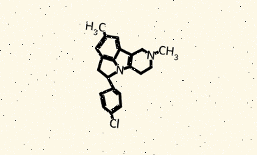 Cc1cc2c3c(c1)c1c(n3C(c3ccc(Cl)cc3)C2)CCN(C)C1